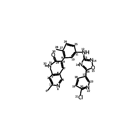 Cc1cc2c(cn1)cc(-c1cc(Nc3noc(-c4ccc(Cl)nc4)n3)ccc1C)c(=O)n2C